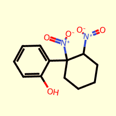 O=[N+]([O-])C1CCCCC1(c1ccccc1O)[N+](=O)[O-]